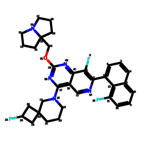 Fc1c(-c2cccc3cccc(F)c23)ncc2c(N3CCCC4(CC(F)C4)C3)nc(OCC34CCCN3CCC4)nc12